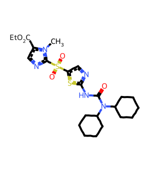 CCOC(=O)c1cnc(S(=O)(=O)c2cnc(NC(=O)N(C3CCCCC3)C3CCCCC3)s2)n1C